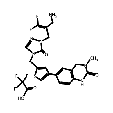 CN1Cc2cc(-c3csc(Cn4cnn(CC(CN)=C(F)F)c4=O)c3)ccc2NC1=O.O=C(O)C(F)(F)F